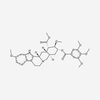 COC(=O)[C@H]1[C@H]2C[C@H]3c4[nH]c5cc(OC)ccc5c4CCN3C[C@@H]2C[C@@H](OC(=O)c2cc(OC)c(OC)c(OC)c2)[C@@H]1OC